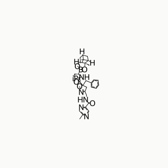 Cc1cnc(C(=O)NCC2=NOC(Cc3ccccc3)(C(=O)N[C@@H](CC(C)C)B3O[C@@H]4C[C@@H]5C[C@@H](C5(C)C)[C@]4(C)O3)C2)cn1